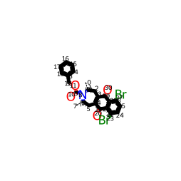 C[C@@H]1CC2=C(C[C@H](C)N1C(=O)OCc1ccccc1)C(=O)c1c(Br)ccc(Br)c1C2=O